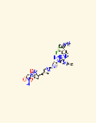 CN/C=C(\C=N)c1cc2c(cc1C(F)F)N(C(=N)C1=C(NC3CCN(CCN4CCC(C#Cc5cccc6c5n(C)c(=O)n6C5CCC(=O)NC5=O)CC4)CC3)CCN(C(C)=O)C1)CCC2